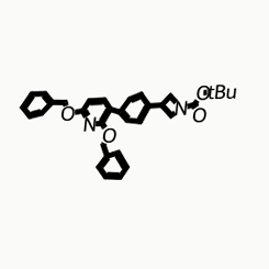 CC(C)(C)OC(=O)N1CC(c2ccc(-c3ccc(OCc4ccccc4)nc3OCc3ccccc3)cc2)C1